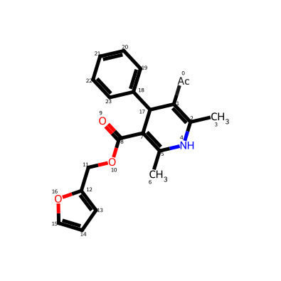 CC(=O)C1=C(C)NC(C)=C(C(=O)OCc2ccco2)C1c1ccccc1